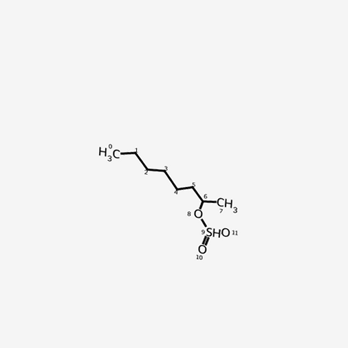 CCCCCCC(C)O[SH](=O)=O